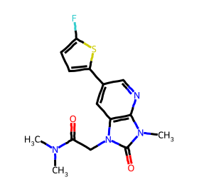 CN(C)C(=O)Cn1c(=O)n(C)c2ncc(-c3ccc(F)s3)cc21